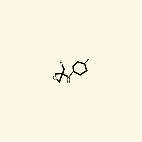 C[C@H]1CC[C@@H](NC2(CF)COC2)CC1